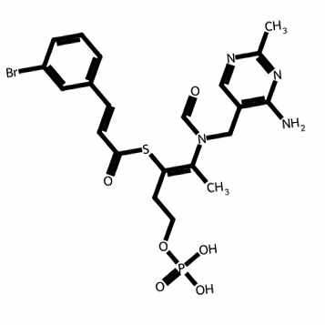 C/C(=C(\CCOP(=O)(O)O)SC(=O)/C=C/c1cccc(Br)c1)N(C=O)Cc1cnc(C)nc1N